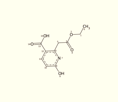 CCOC(=O)Cc1nc(O)ccc1C(=O)O